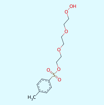 Cc1ccc(S(=O)(=O)OCCOCCOCCOO)cc1